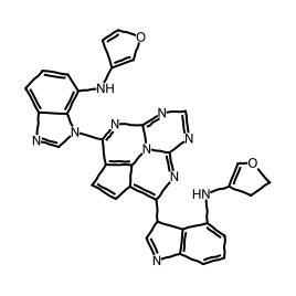 C1=Nc2cccc(NC3=COCC3)c2C1c1nc2ncnc3nc(-n4cnc5cccc(Nc6ccoc6)c54)c4ccc1c4n23